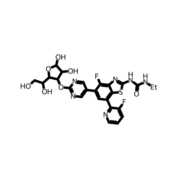 CCNC(=O)Nc1nc2c(F)c(-c3cnc(OC4C(O)C(O)OC4C(O)CO)nc3)cc(-c3ncccc3F)c2s1